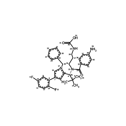 CC(C)(C)[C@H](c1cc(-c2cc(F)ccc2F)cn1Cc1ccccc1)N(CCCNC(=O)O)C(=O)c1ccc(N)cc1